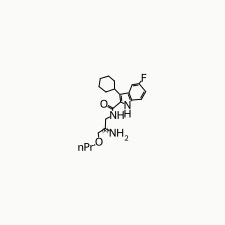 CCCOC[C@H](N)CNC(=O)c1[nH]c2ccc(F)cc2c1C1CCCCC1